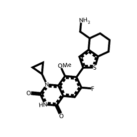 COc1c(-c2cc3c(s2)CCCC3CN)c(F)cc2c(=O)[nH]c(=O)n(C3CC3)c12